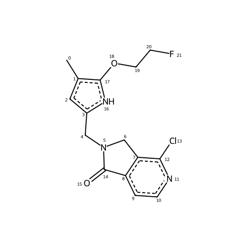 Cc1cc(CN2Cc3c(ccnc3Cl)C2=O)[nH]c1OCCF